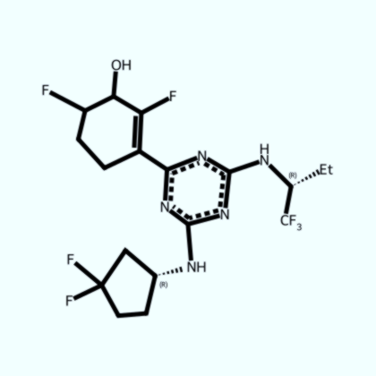 CC[C@@H](Nc1nc(N[C@@H]2CCC(F)(F)C2)nc(C2=C(F)C(O)C(F)CC2)n1)C(F)(F)F